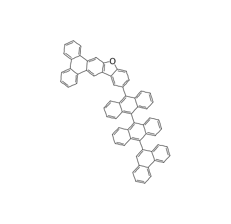 c1ccc2c(c1)cc(-c1c3ccccc3c(-c3c4ccccc4c(-c4ccc5oc6cc7c8ccccc8c8ccccc8c7cc6c5c4)c4ccccc34)c3ccccc13)c1ccccc12